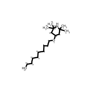 CC1(C)CC(OCCCCCCCCCO)CC(C)(C)N1